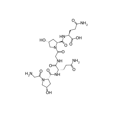 NCC(=O)N1C[C@H](O)C[C@H]1C(=O)N[C@@H](CCC(N)=O)C(=O)NCC(=O)N1C[C@H](O)C[C@H]1C(=O)N[C@@H](CCC(N)=O)C(=O)O